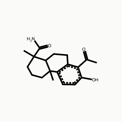 CC(=O)c1c(O)ccc2c1CCC1C(C)(C(N)=O)CCCC21C